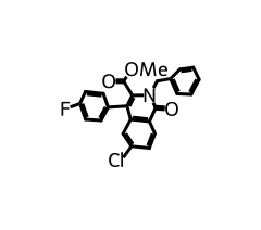 COC(=O)c1c(-c2ccc(F)cc2)c2cc(Cl)ccc2c(=O)n1Cc1ccccc1